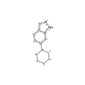 c1cc2cn[nH]c2cc1[C]1CCCCC1